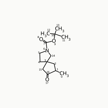 CC1CC2(CCN(C(=O)OC(C)(C)C)C2)CC1=O